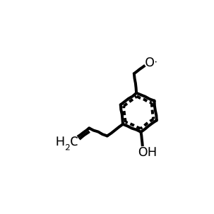 C=CCc1cc(C[O])ccc1O